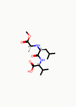 COC(=O)[C@@H](C)N[C@@H](CC(C)C)C(=O)N[C@H](C(=O)O)C(C)C